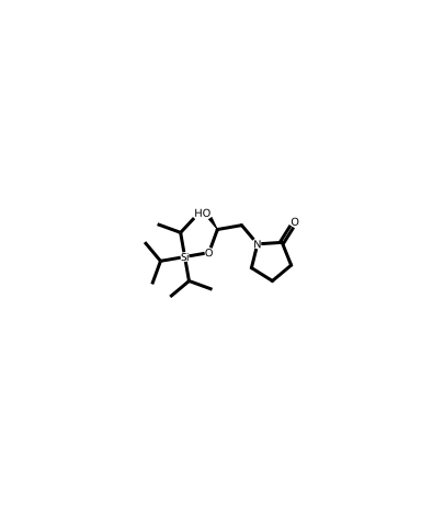 CC(C)[Si](O[C@@H](O)CN1CCCC1=O)(C(C)C)C(C)C